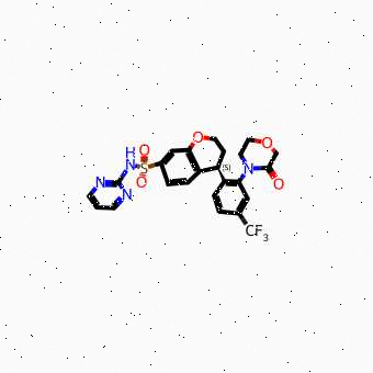 O=C1COCCN1c1cc(C(F)(F)F)ccc1[C@@H]1CCOc2cc(S(=O)(=O)Nc3ncccn3)ccc21